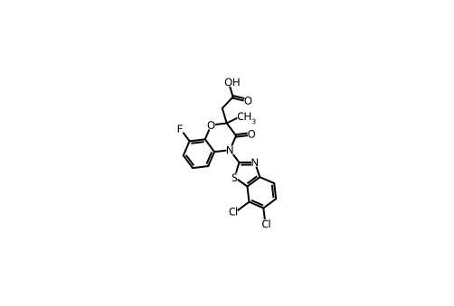 CC1(CC(=O)O)Oc2c(F)cccc2N(c2nc3ccc(Cl)c(Cl)c3s2)C1=O